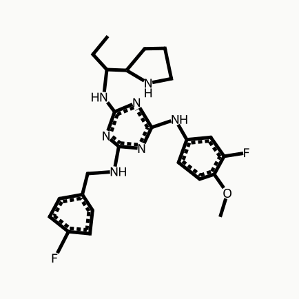 CCC(Nc1nc(NCc2ccc(F)cc2)nc(Nc2ccc(OC)c(F)c2)n1)C1CCCN1